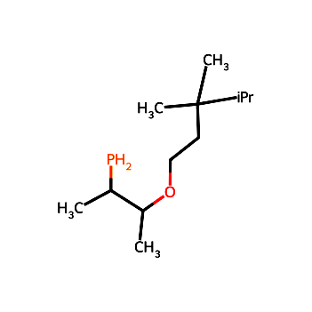 CC(P)C(C)OCCC(C)(C)C(C)C